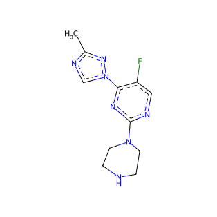 Cc1ncn(-c2nc(N3CCNCC3)ncc2F)n1